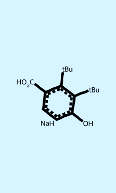 CC(C)(C)c1c(O)ccc(C(=O)O)c1C(C)(C)C.[NaH]